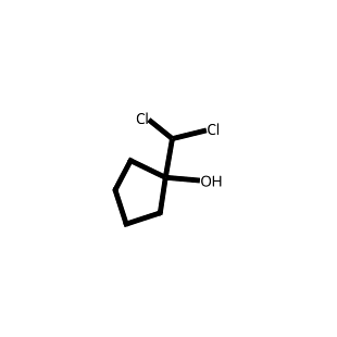 OC1(C(Cl)Cl)CCCC1